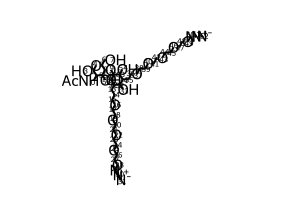 CC(=O)NC1C(O)OC(CO)C(OC2OC(CCCOCCOCCOCCOCCON=[N+]=[N-])C(O)C(CCOCCOCCOCCOCCON=[N+]=[N-])C2O)C1O